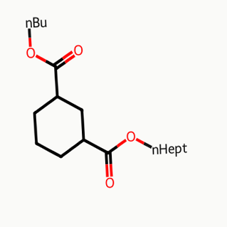 CCCCCCCOC(=O)C1CCCC(C(=O)OCCCC)C1